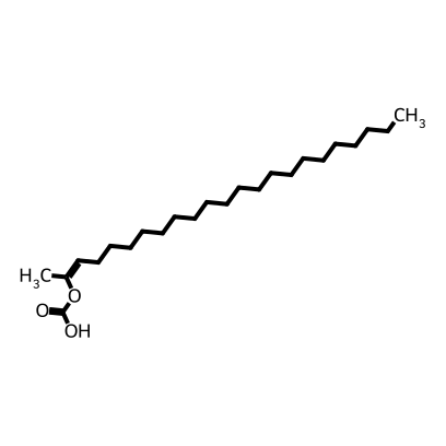 CCCCCCCCCCCCCCCCCCCCC=C(C)OC(=O)O